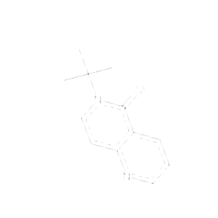 CC(C)(C)n1ccc2ncccc2c1=O